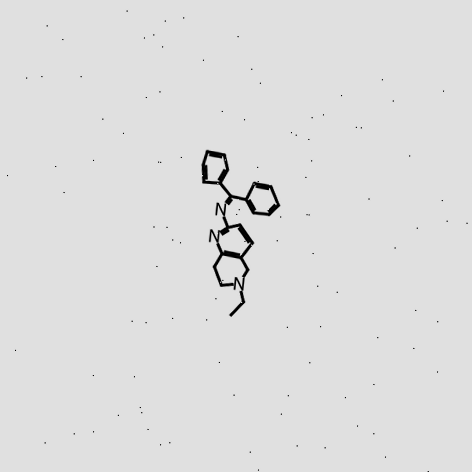 CCN1CCc2nc(N=C(c3ccccc3)c3ccccc3)ccc2C1